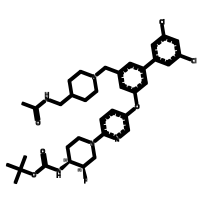 CC(=O)NCC1CCN(Cc2cc(Oc3ccc(N4CC[C@H](NC(=O)OC(C)(C)C)[C@H](F)C4)nc3)cc(-c3cc(Cl)cc(Cl)c3)c2)CC1